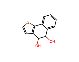 OC1c2ccccc2-c2sccc2C1O